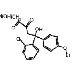 CCOc1ccc(C(O)(CC(=O)C(=O)N(C)O)c2ccccc2Cl)cc1